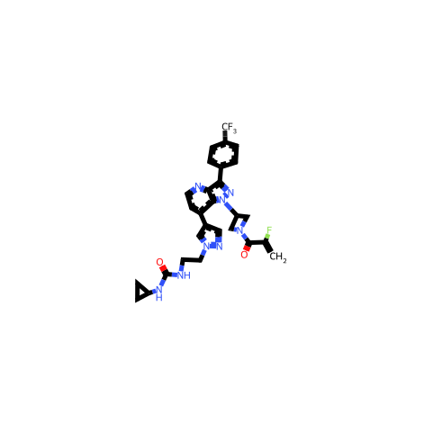 C=C(F)C(=O)N1CC(n2nc(-c3ccc(C(F)(F)F)cc3)c3nccc(-c4cnn(CCNC(=O)NC5CC5)c4)c32)C1